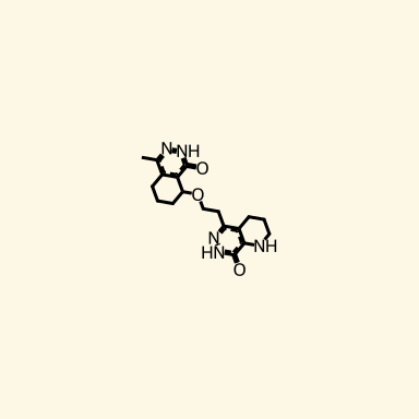 Cc1n[nH]c(=O)c2c1CCCC2OCCc1n[nH]c(=O)c2c1CCCN2